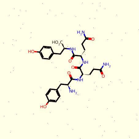 NC(=O)CC[C@H](NC(=O)[C@H](CCC(N)=O)NC(=O)[C@@H](N)Cc1ccc(O)cc1)C(=O)N[C@@H](Cc1ccc(O)cc1)C(=O)O